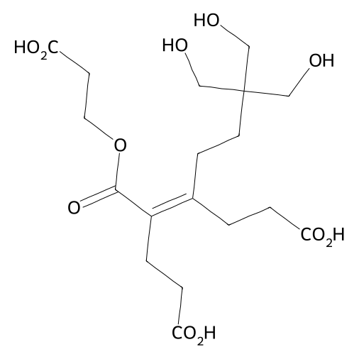 O=C(O)CCOC(=O)C(CCC(=O)O)=C(CCC(=O)O)CCC(CO)(CO)CO